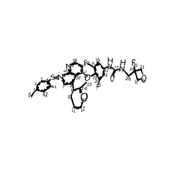 Cc1ccc(Sn2cc(C3CCCOC3C)c3c(Oc4c(F)cc(NC(=O)NCC5(F)COC5)cc4F)ccnc32)cc1